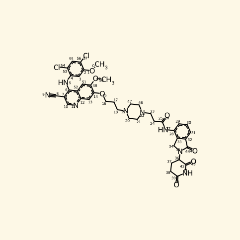 COc1cc(Nc2c(C#N)cnc3cc(OCCCN4CCN(CCC(=O)Nc5cccc6c5CN(C5CCC(=O)NC5=O)C6=O)CC4)c(OC)cc23)c(Cl)cc1Cl